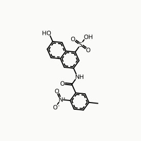 Cc1ccc([N+](=O)[O-])c(C(=O)Nc2cc(S(=O)(=O)O)c3cc(O)ccc3c2)c1